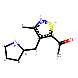 CCC(=O)c1snc(C)c1CC1CCCN1